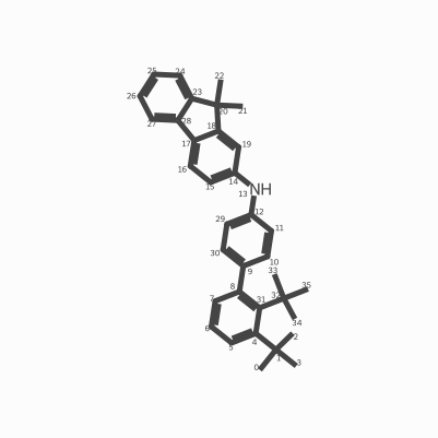 CC(C)(C)c1cccc(-c2ccc(Nc3ccc4c(c3)C(C)(C)c3ccccc3-4)cc2)c1C(C)(C)C